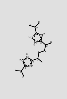 CC(C)c1nc(C(C)CCC(C)c2nsc(C(C)C)n2)no1